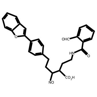 O=Cc1ccccc1C(=O)NCCC(C(=O)O)C(CCc1ccc(-c2cc3ccccc3o2)cc1)N=O